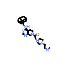 CN(C)CCN1CCN(CC(=O)N2CCc3c(ncnc3NCC34CC5CC(CC(C5)C3)C4)C2)CC1